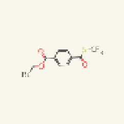 CCC(C)COC(=O)c1ccc(C(=O)SC(F)(F)F)cc1